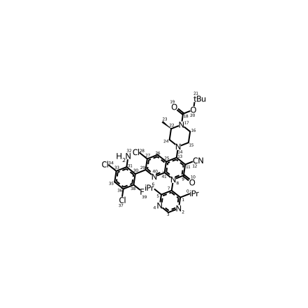 CC(C)c1ncnc(C(C)C)c1-n1c(=O)c(C#N)c(N2CCN(C(=O)OC(C)(C)C)[C@H](C)C2)c2cc(Cl)c(-c3c(N)c(Cl)cc(Cl)c3F)nc21